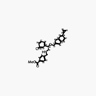 COC(=O)c1ccc(CNC[C@H](OCc2cc3ccc(C4CC4)cc3s2)c2cccc(Cl)c2)cc1